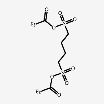 CCC(=O)OS(=O)(=O)CCCCS(=O)(=O)OC(=O)CC